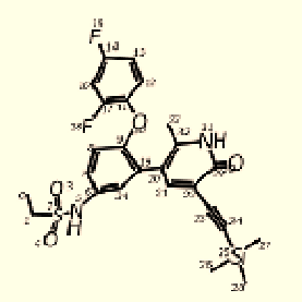 CCS(=O)(=O)Nc1ccc(Oc2ccc(F)cc2F)c(-c2cc(C#C[Si](C)(C)C)c(=O)[nH]c2C)c1